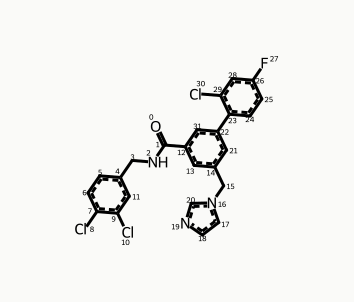 O=C(NCc1ccc(Cl)c(Cl)c1)c1cc(Cn2ccnc2)cc(-c2ccc(F)cc2Cl)c1